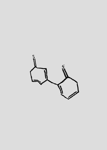 S=C1C=C(C2=[C]C=CCC2=S)C=CC1